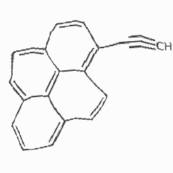 C#Cc1ccc2ccc3cccc4ccc1c2c34